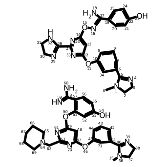 CN1CCN=C1c1cccc(Oc2cc(ON=C(N)c3ccc(O)cc3)nc(C3=NCCN3)n2)c1.CN1CCN=C1c1cccc(Oc2cc(Oc3cc(O)ccc3C(=N)N)nc(CN3CCCCC3)n2)c1